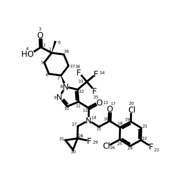 C[C@]1(C(=O)O)CC[C@H](n2ncc(C(=O)N(CC(=O)c3c(Cl)cc(F)cc3Cl)CC3(F)CC3)c2C(F)(F)F)CC1